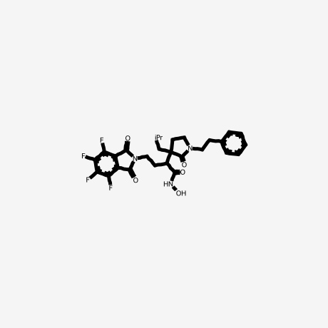 CC(C)CC1(C(CCN2C(=O)c3c(F)c(F)c(F)c(F)c3C2=O)C(=O)NO)CCN(CCc2ccccc2)C1=O